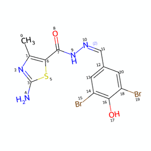 Cc1nc(N)sc1C(=O)N/N=C\c1cc(Br)c(O)c(Br)c1